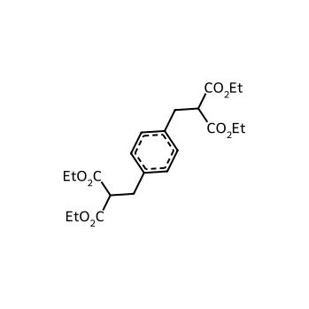 CCOC(=O)C(Cc1ccc(CC(C(=O)OCC)C(=O)OCC)cc1)C(=O)OCC